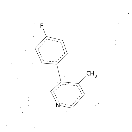 Cc1ccncc1-c1ccc(F)cc1